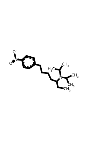 CCC(CCCCc1ccc([N+](=O)[O-])cc1)N(C(C)C)C(C)C